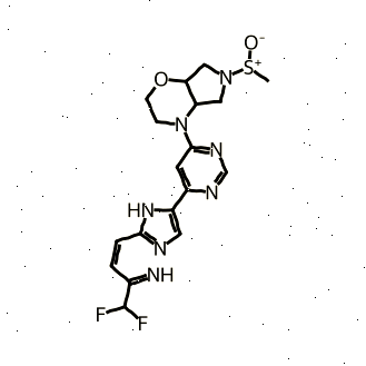 C[S+]([O-])N1CC2OCCN(c3cc(-c4cnc(/C=C\C(=N)C(F)F)[nH]4)ncn3)C2C1